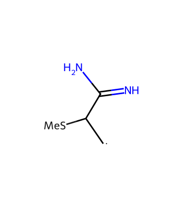 [CH2]C(SC)C(=N)N